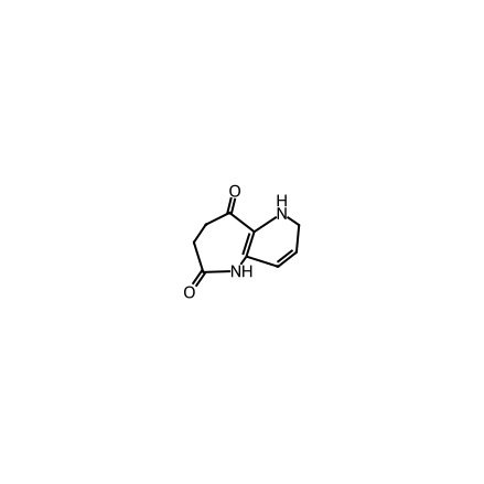 O=C1CCC(=O)C2=C(C=CCN2)N1